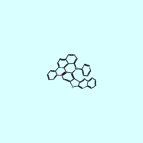 c1ccc(N(c2cccc3ccc4c5ccccc5ccc4c23)c2cccc3sc4cc5ccccc5cc4c23)cc1